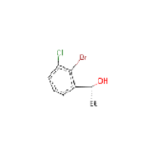 CC[C@@H](O)c1cccc(Cl)c1Br